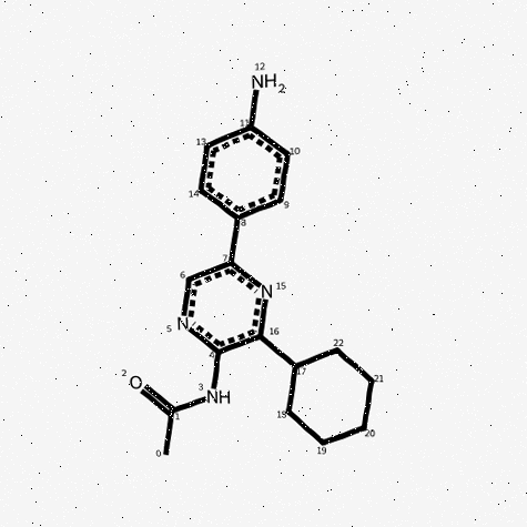 CC(=O)Nc1ncc(-c2ccc(N)cc2)nc1C1CCCCC1